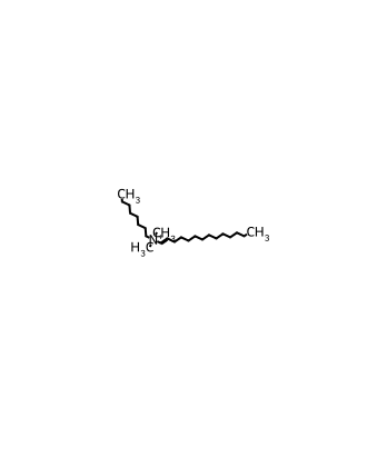 CCCCCCCCCCCCC=C[N+](C)(C)CCCCCCCC